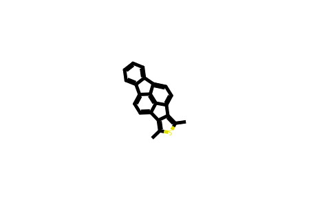 Cc1sc(C)c2c1-c1ccc3c4c(ccc-2c14)-c1ccccc1-3